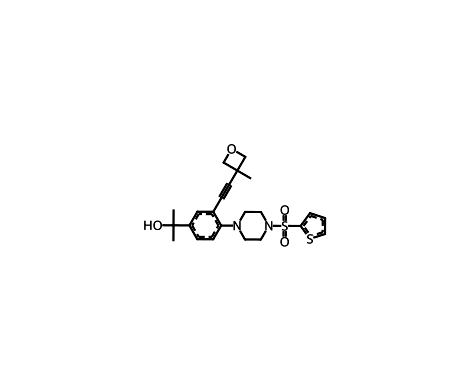 CC1(C#Cc2cc(C(C)(C)O)ccc2N2CCN(S(=O)(=O)c3cccs3)CC2)COC1